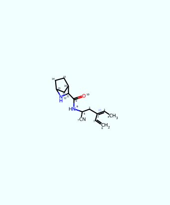 C=C/C(=C\C)CC(C#N)NC(=O)C1NC2CCC1C2